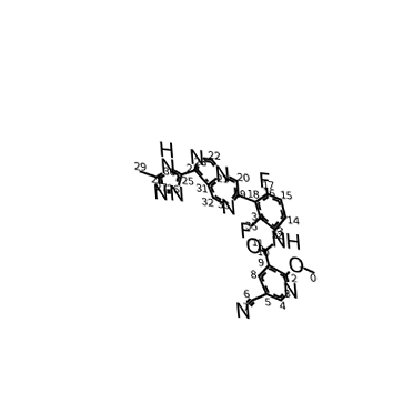 COc1ncc(C#N)cc1C(=O)Nc1ccc(F)c(-c2cn3cnc(-c4nnc(C)[nH]4)c3cn2)c1F